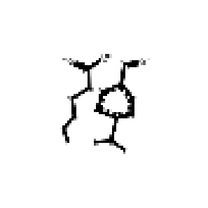 CC(C)c1ccc(C=O)cc1.CCCCCC(=O)O